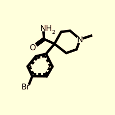 CN1CCC(C(N)=O)(c2ccc(Br)cc2)CC1